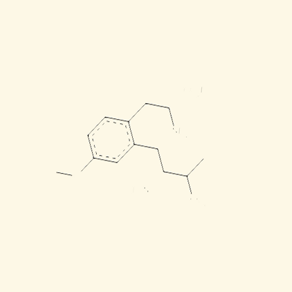 CCOc1ccc(C[C@@H](N)C(=O)O)c(C[C@@H](N)C(C)C(=O)O)c1